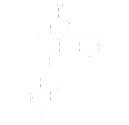 NC1=NC(c2ccccc2)N(CCCOc2ccc(Cl)cc2Cl)C(N)=N1